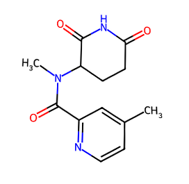 Cc1ccnc(C(=O)N(C)C2CCC(=O)NC2=O)c1